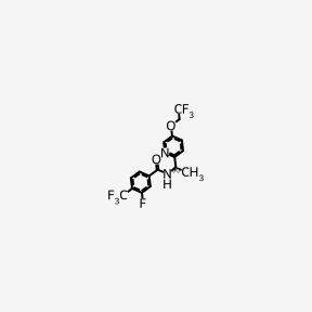 C[C@@H](NC(=O)c1ccc(C(F)(F)F)c(F)c1)c1ccc(OCC(F)(F)F)cn1